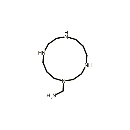 NCN1CCCNCCNCCCNCC1